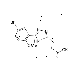 C=C(O)CSc1nnc(-c2cc(Br)ccc2OC)[nH]1